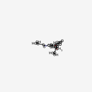 COc1cc(/C=C/C(=O)OCCCCON(O)O)ccc1OC(=O)OCC(=O)[C@@]1(OC(=O)CCCON(O)O)[C@@H](C)CC2C3CCC4=CC(=O)C=C[C@]4(C)[C@@]3(Cl)[C@@H](O)C[C@@]21C